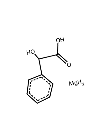 O=C(O)C(O)c1ccccc1.[MgH2]